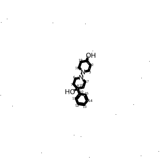 OC1CCN(N2CCC(O)(c3ccccc3)CC2)CC1